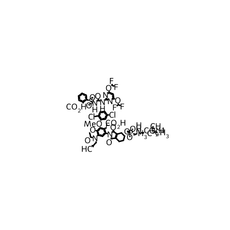 C#CCN1C(=O)COc2cc(F)c(N3C(=O)C4=C(CCCC4)C3=O)cc21.COc1c(Cl)ccc(Cl)c1C(=O)O.C[S+](C)C.O=C(Nc1nc(OC(F)F)cc(OC(F)F)n1)NS(=O)(=O)c1ccccc1C(=O)O.O=C(O)CNCP(=O)([O-])O